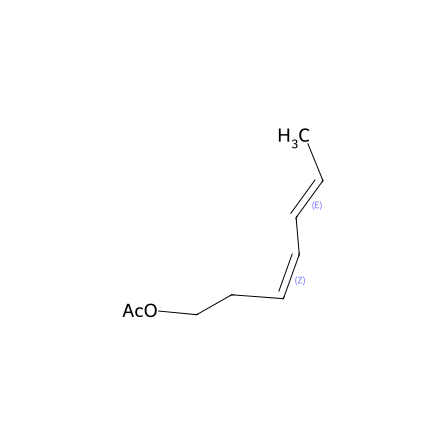 C/C=C/C=C\CCOC(C)=O